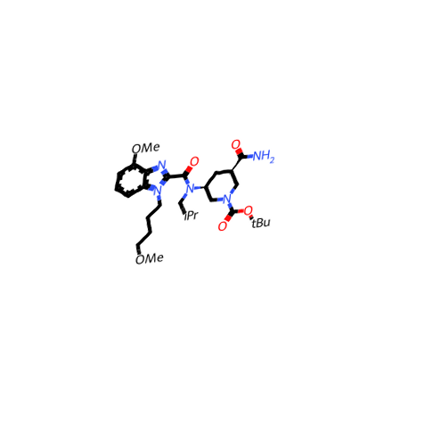 COCCCCn1c(C(=O)N(CC(C)C)[C@H]2C[C@@H](C(N)=O)CN(C(=O)OC(C)(C)C)C2)nc2c(OC)cccc21